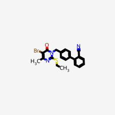 CCSc1nc(C)c(Br)c(=O)n1Cc1ccc(-c2ccccc2C#N)cc1